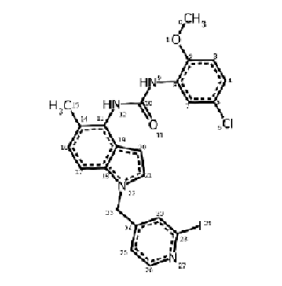 COc1ccc(Cl)cc1NC(=O)Nc1c(C)ccc2c1ccn2Cc1ccnc(I)c1